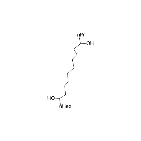 CCCCCCC(O)CCCCCCCCC(O)CCC